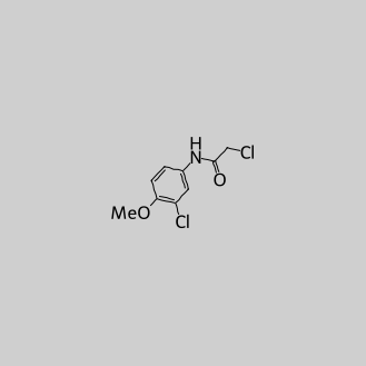 COc1ccc(NC(=O)CCl)cc1Cl